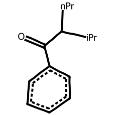 CCCC(C(=O)c1ccccc1)C(C)C